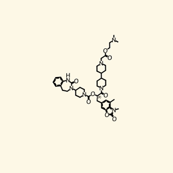 Cc1cc(C[C@@H](OC(=O)N2CCC(N3CCc4ccccc4NC3=O)CC2)C(=O)N2CCC(C3CCN(CC(=O)OCCN(C)C)CC3)CC2)cc2oc(=O)n(C)c12